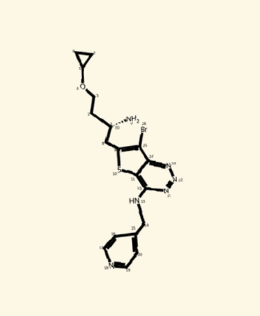 N[C@@H](CCOC1CC1)Cc1sc2c(NCc3ccncc3)nnnc2c1Br